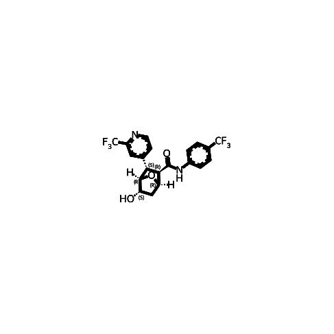 O=C(Nc1ccc(C(F)(F)F)cc1)[C@@H]1[C@@H](c2ccnc(C(F)(F)F)c2)[C@H]2O[C@@H]1C[C@@H]2O